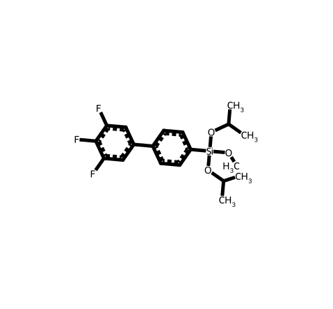 CO[Si](OC(C)C)(OC(C)C)c1ccc(-c2cc(F)c(F)c(F)c2)cc1